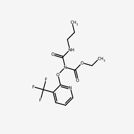 CCCNC(=O)N(Oc1ncccc1C(F)(F)F)C(=O)OCC